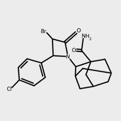 NC(=O)C12CC3CC(CC(C3)C1N1C(=O)C(Br)C1c1ccc(Cl)cc1)C2